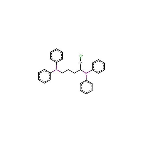 [Br][Pd][CH](CCCP(c1ccccc1)c1ccccc1)P(c1ccccc1)c1ccccc1